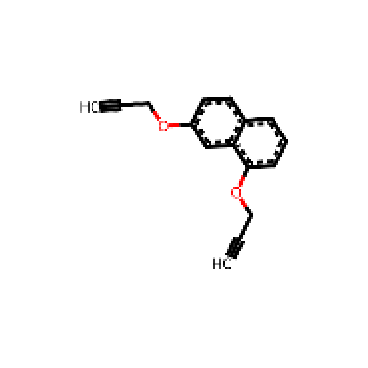 C#CCOc1ccc2cccc(OCC#C)c2c1